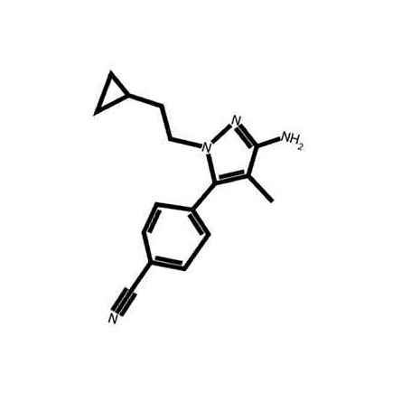 Cc1c(N)nn(CCC2CC2)c1-c1ccc(C#N)cc1